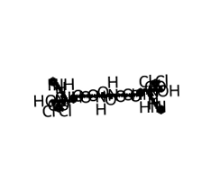 O=C(O)CC(NC(=O)[C@H](Cc1ccc(OCCOCCOCCNC(=O)CCC(=O)NCCOCCOCCOc2ccc(C[C@H](NC(=O)CCCCNc3ccccn3)C(=O)NC(CC(=O)O)c3cc(Cl)cc(Cl)c3)cc2)cc1)NC(=O)CCCCNc1ccccn1)c1cc(Cl)cc(Cl)c1